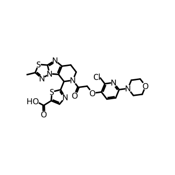 Cc1nn2c3c(nc2s1)CCN(C(=O)COc1ccc(N2CCOCC2)nc1Cl)C3c1ncc(C(=O)O)s1